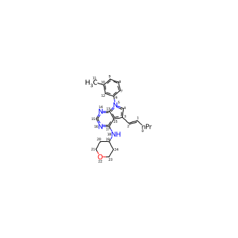 CCCC=Cc1cn(-c2cccc(C)c2)c2ncnc(NC3CCOCC3)c12